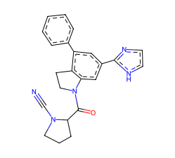 N#CN1CCCC1C(=O)N1CCc2c(-c3ccccc3)cc(-c3ncc[nH]3)cc21